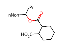 CCCCCCCCCC(OC(=O)C1CCCCC1C(=O)O)C(C)C